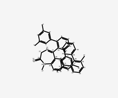 Cc1cc(C)cc(-c2cccc(-c3cc(C)cc(C)c3)c2C2=NCC(=O)N(C)c3ccc(-c4cccc(C)c4-c4ccccn4)cc32)c1